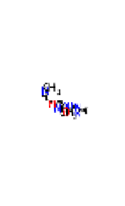 Cc1nc(OCCC2CCN(C)C2)ccc1NC(=O)c1cnc(C2CC2)nc1